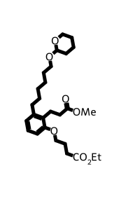 CCOC(=O)CCCOc1cccc(CCCCCCOC2CCCCO2)c1CCC(=O)OC